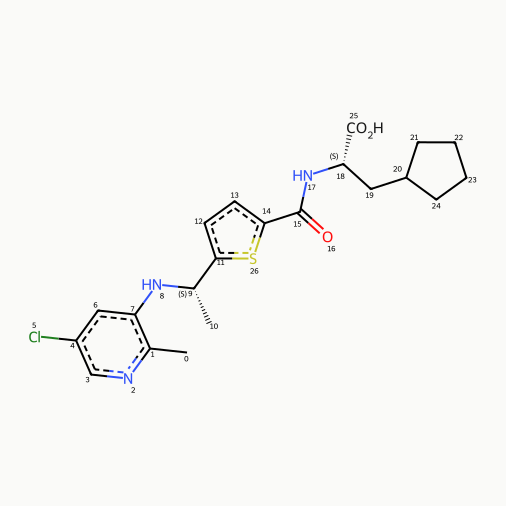 Cc1ncc(Cl)cc1N[C@@H](C)c1ccc(C(=O)N[C@@H](CC2CCCC2)C(=O)O)s1